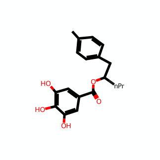 CCCC(Cc1ccc(C)cc1)OC(=O)c1cc(O)c(O)c(O)c1